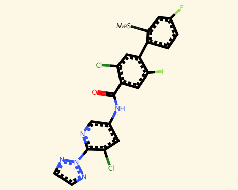 CSc1cc(F)ccc1-c1cc(Cl)c(C(=O)Nc2cnc(-n3nccn3)c(Cl)c2)cc1F